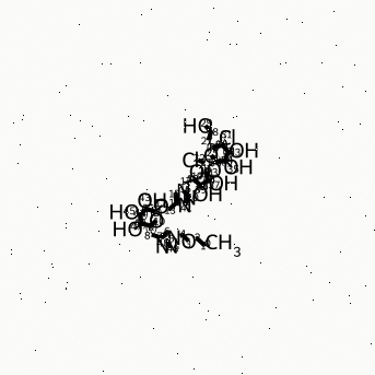 CCCOCn1cc(C[C@H]2O[C@H](OCc3cn(C[C@H]4O[C@@](CCl)(O[C@H]5O[C@H](CCO)[C@H](Cl)[C@H](O)[C@H]5O)[C@@H](O)[C@@H]4O)nn3)[C@@H](O)[C@@H](O)[C@@H]2O)nn1